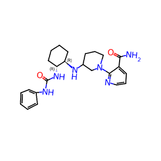 NC(=O)c1cccnc1N1CCCC(N[C@@H]2CCCC[C@H]2NC(=O)Nc2ccccc2)C1